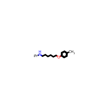 Cc1ccc(OCCCCCCNC(C)C)cc1